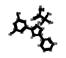 Fc1cc(F)cc(-c2nnc(-c3cccnc3)o2)c1.O=C(O)C(F)(F)F